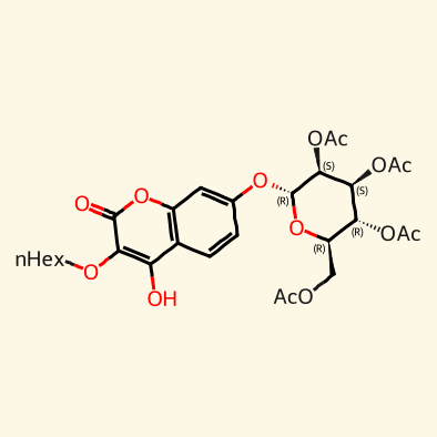 CCCCCCOc1c(O)c2ccc(O[C@H]3O[C@H](COC(C)=O)[C@@H](OC(C)=O)[C@H](OC(C)=O)[C@@H]3OC(C)=O)cc2oc1=O